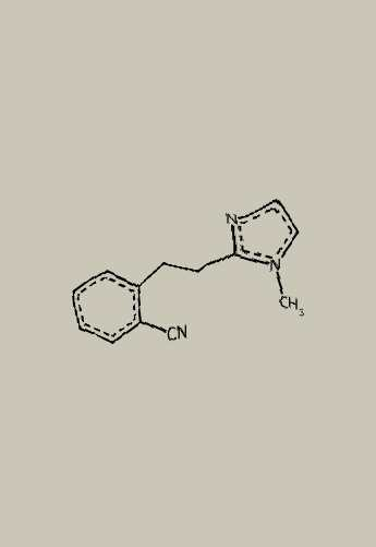 Cn1ccnc1CCc1ccccc1C#N